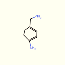 NCC1=CC=C(N)CC1